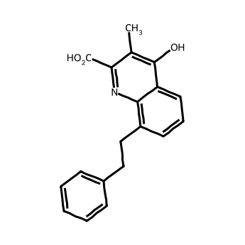 Cc1c(C(=O)O)nc2c(CCc3ccccc3)cccc2c1O